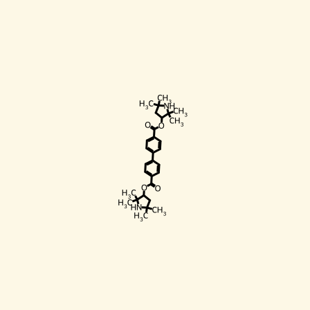 CC1(C)CC(OC(=O)c2ccc(-c3ccc(C(=O)OC4CC(C)(C)NC4(C)C)cc3)cc2)C(C)(C)N1